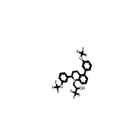 OC(CN1c2cccc(-c3cccc(OC(F)(F)F)c3)c2CCC1c1cccc(OC(F)(F)F)c1)C(F)(F)F